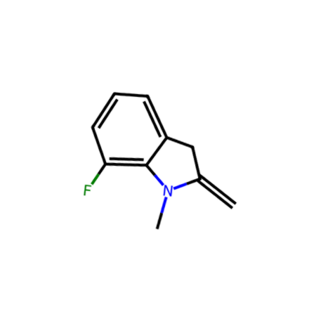 C=C1Cc2cccc(F)c2N1C